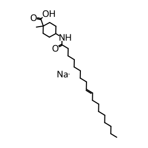 CCCCCCCCC=CCCCCCCCC(=O)NC1CCC(C)(C(=O)O)CC1.[Na]